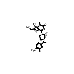 CCn1c(CC#N)nc2c(N3C[C@@H](C)N(C(C)c4ccc(C(F)(F)F)c(C)c4)C[C@@H]3C)nc(=O)n(C)c21